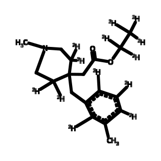 [2H]c1c([2H])c(C)c([2H])c(CC2(CC(=O)OC([2H])([2H])C([2H])([2H])[2H])C([2H])([2H])CN(C)CC2([2H])[2H])c1[2H]